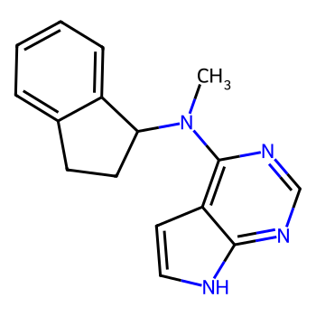 CN(c1ncnc2[nH]ccc12)C1CCc2ccccc21